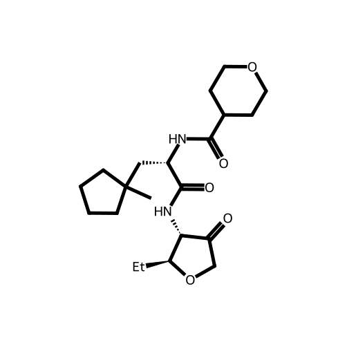 CC[C@@H]1OCC(=O)[C@H]1NC(=O)[C@H](CC1(C)CCCC1)NC(=O)C1CCOCC1